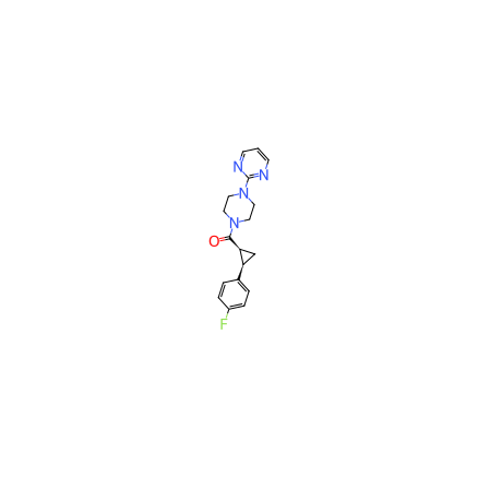 O=C([C@H]1C[C@H]1c1ccc(F)cc1)N1CCN(c2ncccn2)CC1